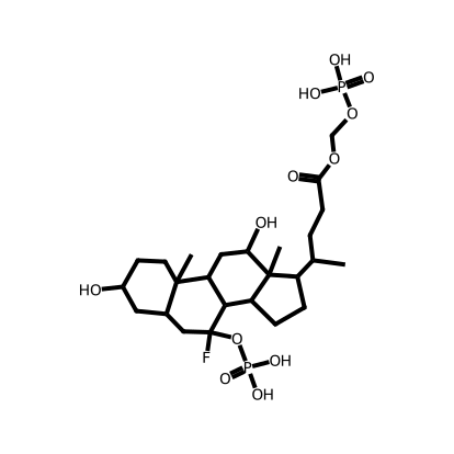 CC(CCC(=O)OCOP(=O)(O)O)C1CCC2C3C(CC(O)C12C)C1(C)CCC(O)CC1CC3(F)OP(=O)(O)O